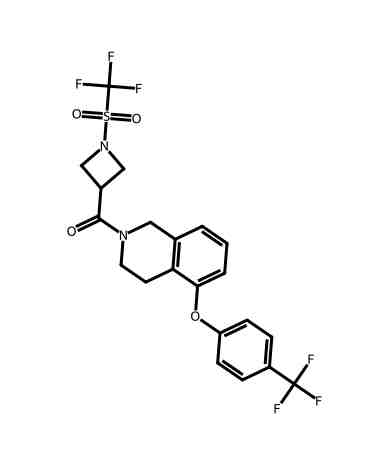 O=C(C1CN(S(=O)(=O)C(F)(F)F)C1)N1CCc2c(cccc2Oc2ccc(C(F)(F)F)cc2)C1